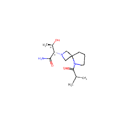 CC(C)C(=O)N1CCCC12CN([C@H](C(N)=O)[C@@H](C)O)C2